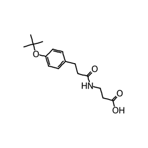 CC(C)(C)Oc1ccc(CCC(=O)NCCC(=O)O)cc1